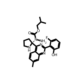 Cc1ccc2c([C@]3(N(N)C(=O)OCC(C)C)CCCN3)nc(-c3c(O)cccc3F)nc2c1